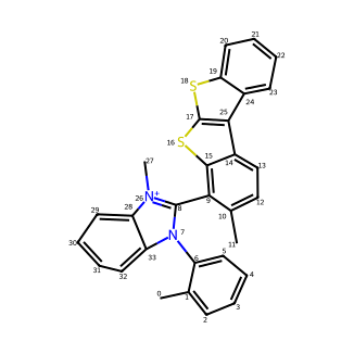 Cc1ccccc1-n1c(-c2c(C)ccc3c2sc2sc4ccccc4c23)[n+](C)c2ccccc21